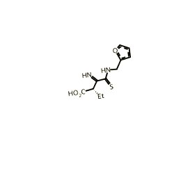 CC[C@@H](C(=N)C(=S)NCc1ccco1)C(=O)O